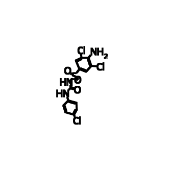 Nc1c(Cl)cc(S(=O)(=O)NC(=O)Nc2ccc(Cl)cc2)cc1Cl